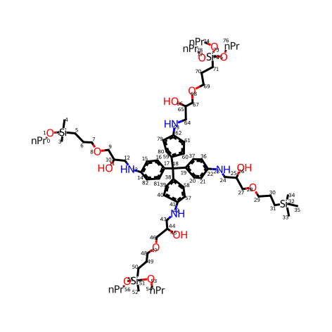 CCCO[Si](C)(C)CCCOCC(O)CNc1ccc(C(c2ccc(NCC(O)COCCC[Si](C)(C)C)cc2)(c2ccc(NCC(O)COCCC[Si](C)(OCCC)OCCC)cc2)c2ccc(NCC(O)COCCC[Si](OCCC)(OCCC)OCCC)cc2)cc1